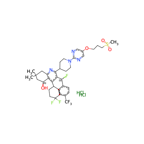 CC1(C)Cc2nc(C3CCN(c4ncc(OCCCS(C)(=O)=O)cn4)CC3)c([C@@H](F)c3ccc(C(F)(F)F)cc3)c(C3CCC(F)(F)CC3)c2[C@@H](O)C1.Cl.Cl